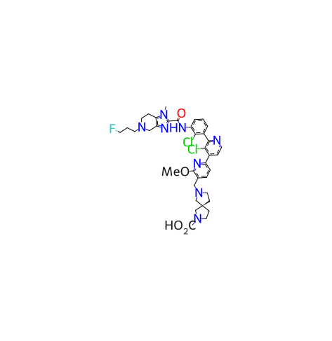 COc1nc(-c2ccnc(-c3cccc(NC(=O)c4nc5c(n4C)CCN(CCCF)C5)c3Cl)c2Cl)ccc1CN1CC[C@]2(CCN(C(=O)O)C2)C1